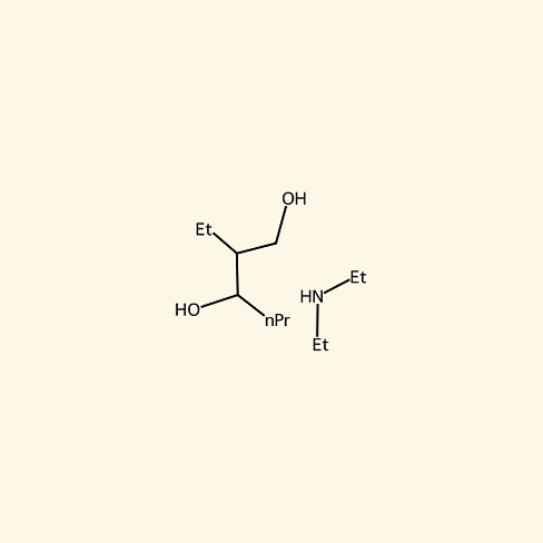 CCCC(O)C(CC)CO.CCNCC